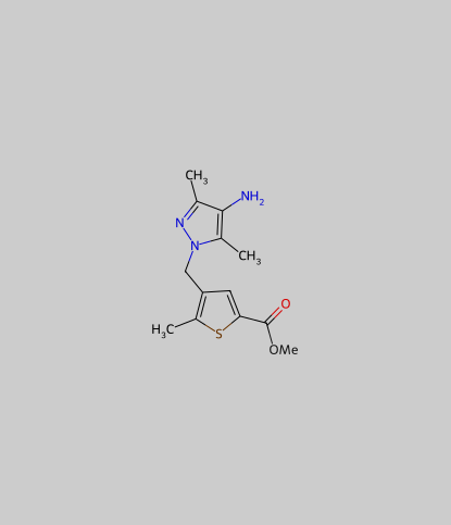 COC(=O)c1cc(Cn2nc(C)c(N)c2C)c(C)s1